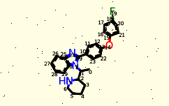 CC(C1CCCCN1)n1c(-c2ccc(Oc3ccc(F)cc3)cc2)nc2ccccc21